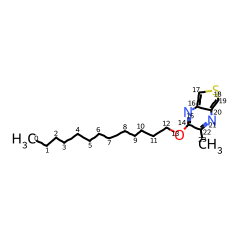 CCCCCCCCCCCCCOc1nc2cscc2nc1C